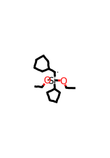 CCO[Si]([CH]C1CCCCC1)(OCC)C1CCCC1